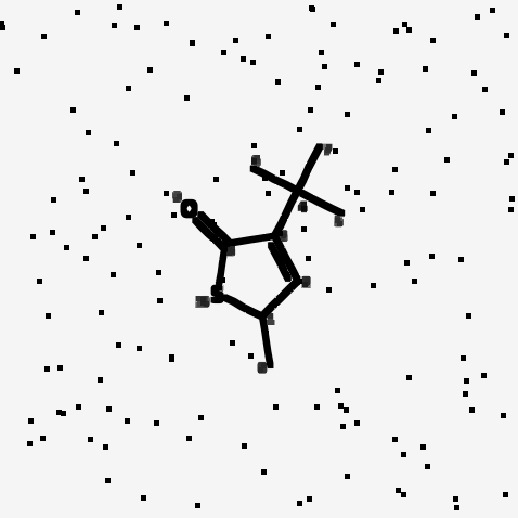 CC1C=C(C(C)(C)C)C(=O)S1